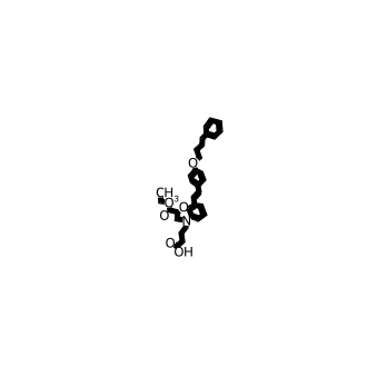 CCOC(=O)C1CN(CCCC(=O)O)c2cccc(C=Cc3ccc(OCCCCc4ccccc4)cc3)c2O1